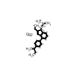 CCC1=Cc2c(-c3ccc(C(C)CC)cc3)cccc2[CH]1[Zr+2][Si](C)C.[Cl-].[Cl-]